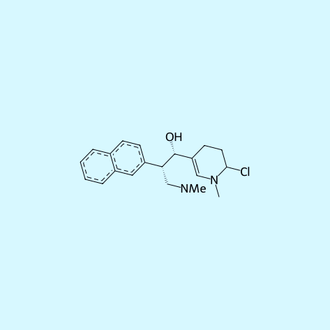 CNC[C@H](c1ccc2ccccc2c1)[C@H](O)C1=CN(C)C(Cl)CC1